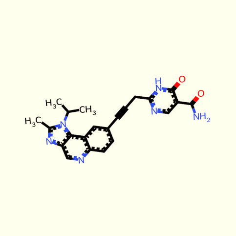 Cc1nc2cnc3ccc(C#CCc4ncc(C(N)=O)c(=O)[nH]4)cc3c2n1C(C)C